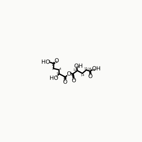 O=C(O)CCC(O)C(=O)OC(=O)C(O)CCC(=O)O